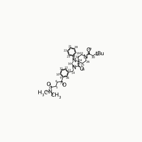 CN(C)C(=O)CCC(=O)c1cccc(CN2CN(c3ccccc3)C3(CCN(C(=O)CC(C)(C)C)CC3)C2=O)c1